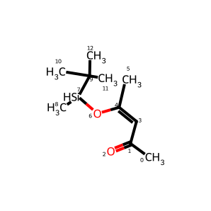 CC(=O)C=C(C)O[SiH](C)C(C)(C)C